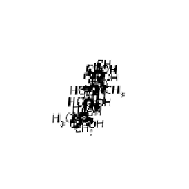 CO[C@@H]1OC(CO)[C@@H](O)[C@H](O[C@@H]2OC(C(=O)O)[C@@H](O[C@@H]3OC(CO)[C@@H](O)[C@H](OC4OC(C(C)=O)[C@@H](OC)[C@H](O)[C@@H]4O)C3NC(C)=O)[C@H](O)C2O)C1NC(C)=O